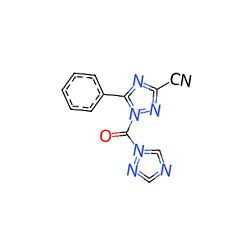 N#Cc1nc(-c2ccccc2)n(C(=O)n2cncn2)n1